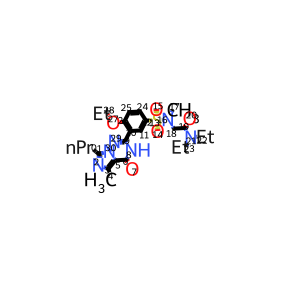 CCCc1nc(C)c2c(=O)[nH]c(-c3cc(S(=O)(=O)N(C)CC(=O)N(CC)CC)ccc3OCC)nn12